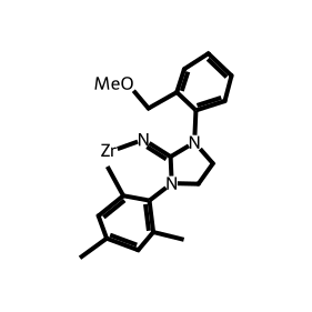 COCc1ccccc1N1CCN(c2c(C)cc(C)cc2C)C1=[N][Zr]